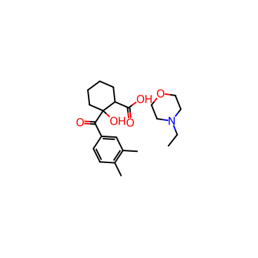 CCN1CCOCC1.Cc1ccc(C(=O)C2(O)CCCCC2C(=O)O)cc1C